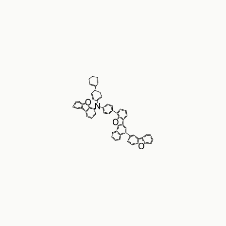 C1=CC(C2C=CC(N(c3ccc(-c4cccc5c4oc4c6ccccc6c(-c6ccc7oc8ccccc8c7c6)cc54)cc3)c3cccc4c3oc3ccccc34)=CC2)=CCC1